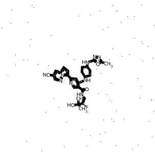 Cc1nnc(NC2CCC(Nc3cc(-c4ccc5cc(C#N)cnn45)ncc3C(=O)NC[C@@H](F)C(C)(C)O)CC2)o1